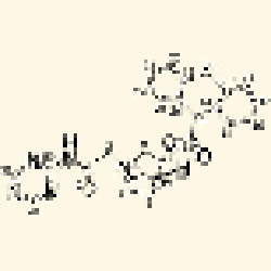 O=C(C[N+]12CCC(CC1)[C@@H](OC(=O)C1c3ccccc3Cc3ccccc31)C2)Nc1ncncn1